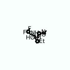 CCc1cccc(CN(C[C@@H](O)[C@@H](N)Cc2cc(F)cc(F)c2)C(=O)c2cccc(-c3nc(C)co3)c2)c1